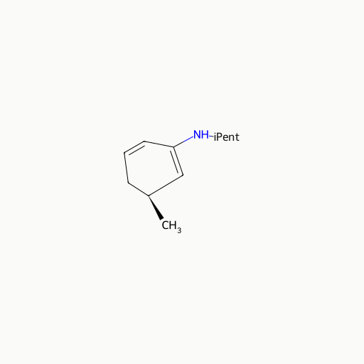 CCCC(C)NC1=C[C@@H](C)CC=C1